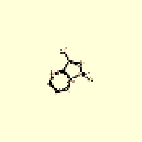 [O-][NH+]1N=C(Cl)c2ncccc21